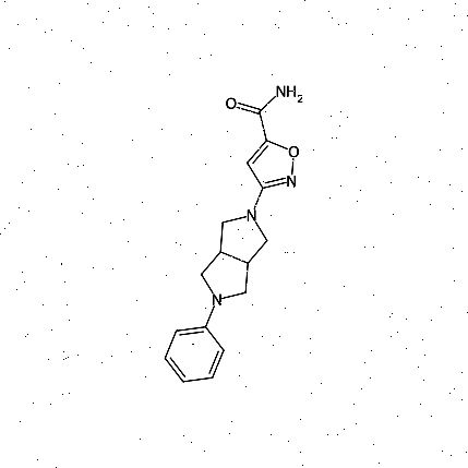 NC(=O)c1cc(N2CC3CN(c4ccccc4)CC3C2)no1